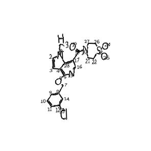 Cn1ccc2c(OCc3cccc(Cl)c3)ncc(C(=O)N3CCS(=O)(=O)CC3)c21